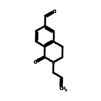 C=CCN1CCc2cc(C=O)ccc2C1=O